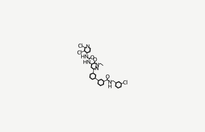 CCn1nc(-c2cccc(-c3cccc(C(=O)NCc4cccc(Cl)c4)c3)c2)cc(NC(=O)Nc2ccnc(Cl)c2Cl)c1=O